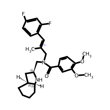 COc1ccc(C(=O)N(C/C(C)=C/c2ccc(F)cc2F)C[C@@H]2C[C@@H]3CCCC[C@@H]3N2)cc1OC